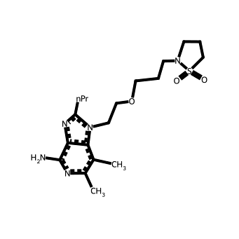 CCCc1nc2c(N)nc(C)c(C)c2n1CCOCCCN1CCCS1(=O)=O